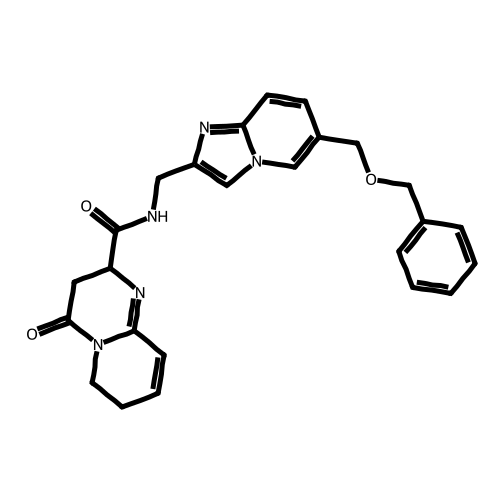 O=C(NCc1cn2cc(COCc3ccccc3)ccc2n1)C1CC(=O)N2CCC=CC2=N1